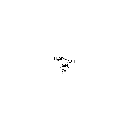 [OH][SnH3].[SiH4].[Zn]